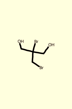 OCC(Br)(CO)CBr